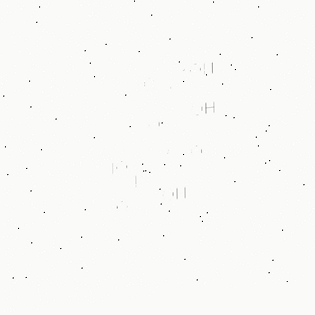 O=C(OP(=O)(O)O)P(=O)(O)O